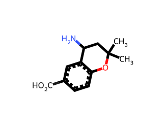 CC1(C)CC(N)c2cc(C(=O)O)ccc2O1